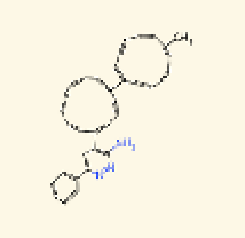 CC1=C/C=C\C=C/C(C2=C/C=C\C=C/C=C\C(c3cc(-c4ccccc4)nnc3N)=C/C=C\2)=C\C=C/C=C\1